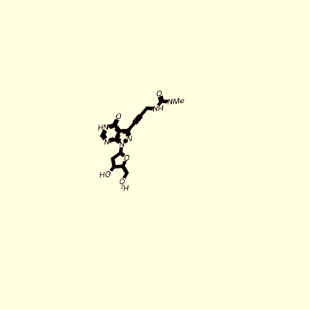 [2H]OCC1OC(n2nc(C#CCNC(=O)NC)c3c(=O)[nH]cnc32)CC1O